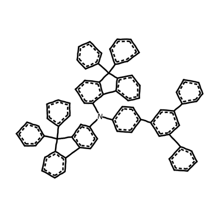 c1ccc(-c2cc(-c3ccccc3)cc(-c3ccc(N(c4ccc5c(c4)C(c4ccccc4)(c4ccccc4)c4ccccc4-5)c4cccc5c4-c4ccccc4C5(c4ccccc4)c4ccccc4)cc3)c2)cc1